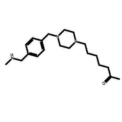 CNCc1ccc(CN2CCN(CCCCCC(C)=O)CC2)cc1